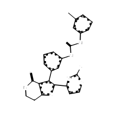 Cc1cccc(NC(=O)Nc2cccc(-c3c(-c4ccnc(N)n4)[nH]c4c3C(=O)NCC4)c2)c1